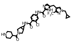 O=C(Nc1ccc(C(=O)NC2C3CN(C(=O)C4CCNCC4)CC32)c(Cl)c1)c1ncc(Cc2cn(CC3CC3)nc2C(F)(F)F)[nH]1